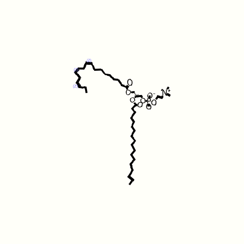 CC/C=C\C/C=C\C/C=C\CCCCCCCC(=O)OC[C@H](COP(=O)([O-])OCC[N+](C)(C)C)OC(=O)CCCCCCCCCCCCCCCCC